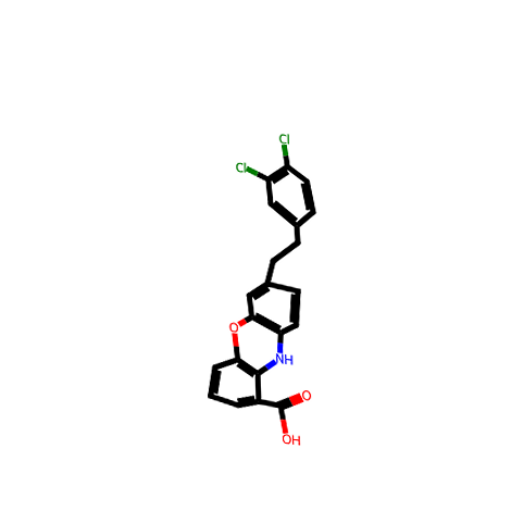 O=C(O)c1cccc2c1Nc1ccc(CCc3ccc(Cl)c(Cl)c3)cc1O2